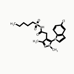 CCCCCS(=O)(=O)NC(=O)Cc1c(C)nn(C)c1-n1ccc2cc(Cl)ccc21